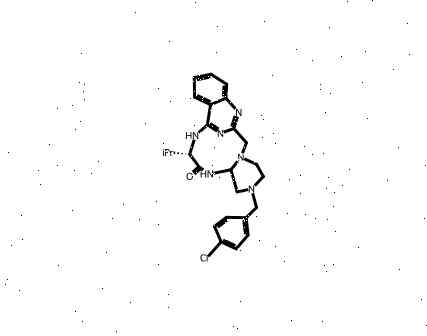 CC(C)[C@@H]1Nc2nc(nc3ccccc23)CN2CCN(Cc3ccc(Cl)cc3)CC2NC1=O